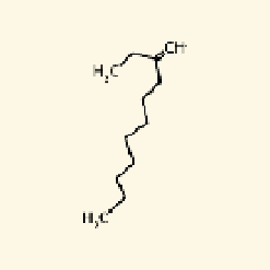 [CH]=C(CC)CCCCCCCC